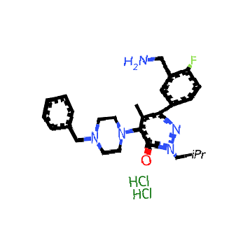 Cc1c(-c2ccc(F)c(CN)c2)nn(CC(C)C)c(=O)c1N1CCN(Cc2ccccc2)CC1.Cl.Cl